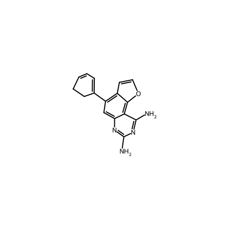 Nc1nc(N)c2c(cc(C3=CC=CCC3)c3ccoc32)n1